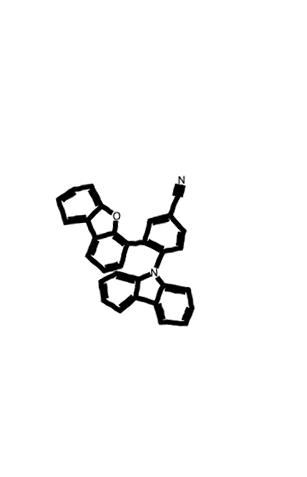 N#Cc1ccc(-n2c3ccccc3c3ccccc32)c(-c2cccc3c2oc2ccccc23)c1